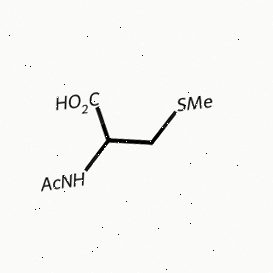 CSCC(NC(C)=O)C(=O)O